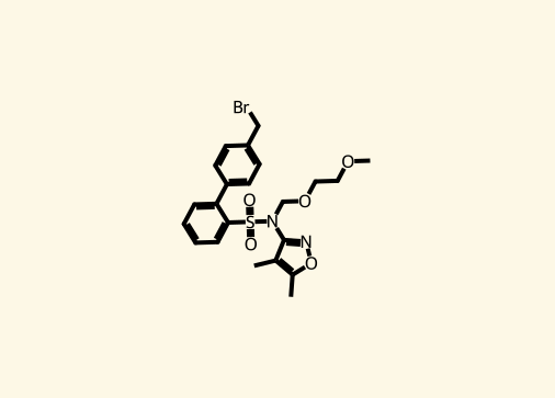 COCCOCN(c1noc(C)c1C)S(=O)(=O)c1ccccc1-c1ccc(CBr)cc1